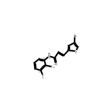 O=C(/C=C/c1cc(Br)cs1)Nc1cccc(F)c1F